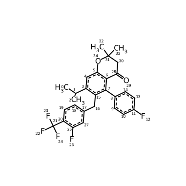 CC(C)c1cc2c(c(-c3ccc(F)cc3)c1Cc1ccc(C(F)(F)F)c(F)c1)C(=O)CC(C)(C)O2